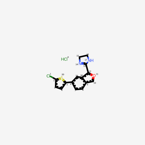 Cl.Clc1ccc(-c2ccc3coc(C4=NCCN4)c3c2)s1